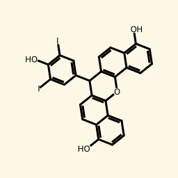 Oc1c(I)cc(C2c3ccc4c(O)cccc4c3Oc3c2ccc2c(O)cccc32)cc1I